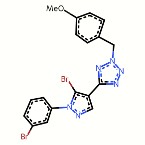 COc1ccc(Cn2nnc(-c3cnn(-c4cccc(Br)c4)c3Br)n2)cc1